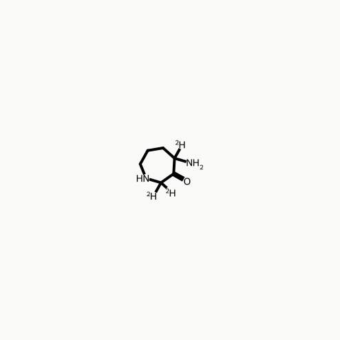 [2H]C1(N)CCCNC([2H])([2H])C1=O